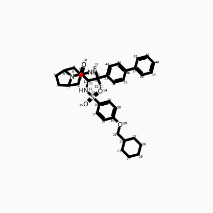 NC1CC2CCC(C1)N2C(=O)[C@H](NS(=O)(=O)c1ccc(OCC2CCCCC2)cc1)C(F)(F)c1ccc(-c2ccccc2)cc1